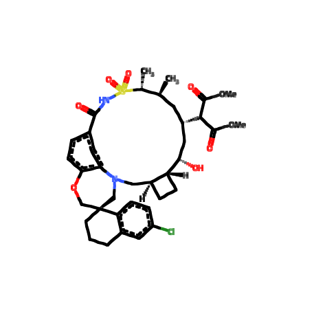 COC(=O)C(C(=O)OC)[C@H]1C[C@H](C)[C@@H](C)S(=O)(=O)NC(=O)c2ccc3c(c2)N(C[C@@H]2CC[C@H]2[C@@H](O)C1)C[C@@]1(CCCc2cc(Cl)ccc21)CO3